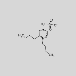 CCCCc1cccc[n+]1CCCC.CS(=O)(=O)[O-]